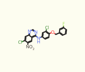 O=[N+]([O-])c1cc2c(Nc3ccc(OCc4cccc(F)c4)c(Cl)c3)ncnc2cc1Cl